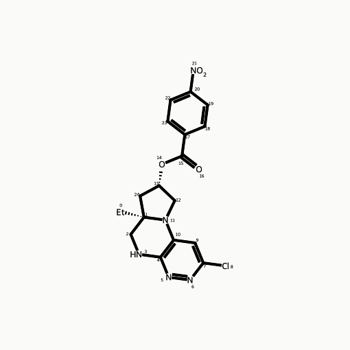 CC[C@@]12CNc3nnc(Cl)cc3N1C[C@@H](OC(=O)c1ccc([N+](=O)[O-])cc1)C2